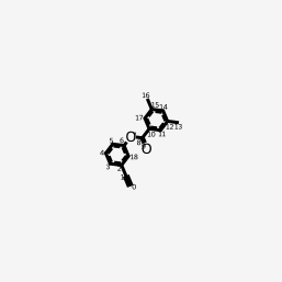 C#Cc1cccc(OC(=O)c2cc(C)cc(C)c2)c1